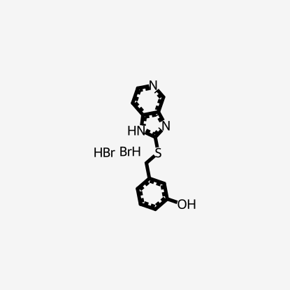 Br.Br.Oc1cccc(CSc2nc3cnccc3[nH]2)c1